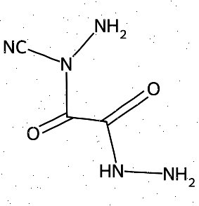 N#CN(N)C(=O)C(=O)NN